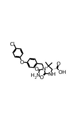 CC1(C)[C@H](C(=O)O)NC(=O)[N+]1(Cc1ccc(Oc2ccc(Cl)cc2)cc1)C(N)=O